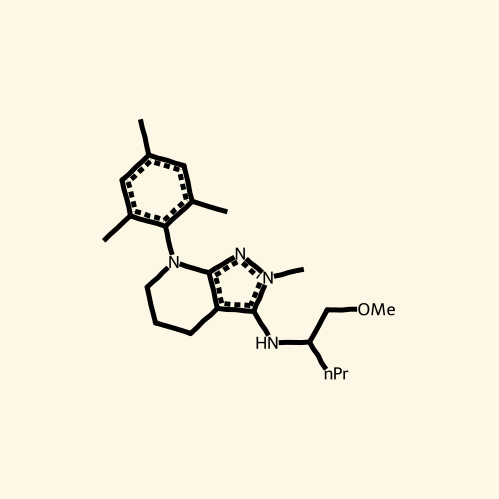 CCCC(COC)Nc1c2c(nn1C)N(c1c(C)cc(C)cc1C)CCC2